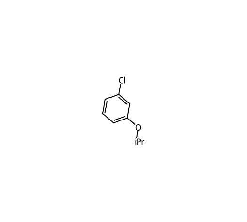 [CH2]C(C)Oc1cccc(Cl)c1